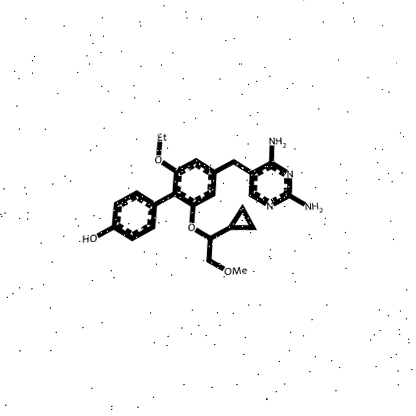 CCOc1cc(Cc2cnc(N)nc2N)cc(OC(COC)C2CC2)c1-c1ccc(O)cc1